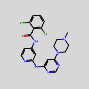 CN1CCN(c2cc(Nc3cc(NC(=O)c4c(Cl)cccc4Cl)ccn3)ncn2)CC1